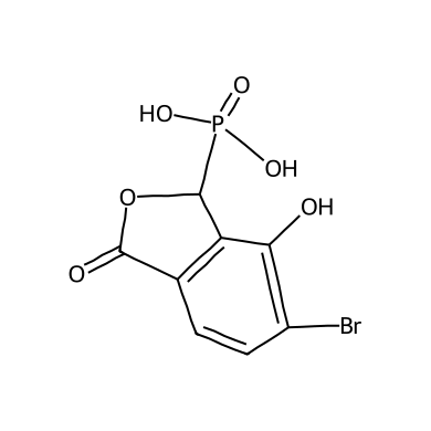 O=C1OC(P(=O)(O)O)c2c1ccc(Br)c2O